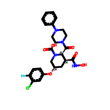 O=C(NO)[C@H]1C[C@H](Oc2ccc(F)c(Cl)c2)CN(C(=O)O)[C@@H]1C(=O)N1CCN(c2ccccc2)CC1